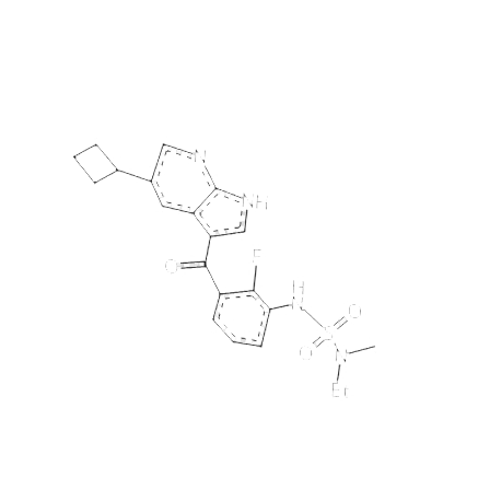 CCN(C)S(=O)(=O)Nc1cccc(C(=O)c2c[nH]c3ncc(C4CCC4)cc23)c1F